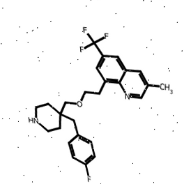 Cc1cnc2c(CCOCC3(Cc4ccc(F)cc4)CCNCC3)cc(C(F)(F)F)cc2c1